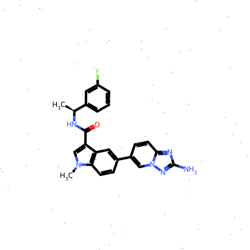 C[C@H](NC(=O)c1cn(C)c2ccc(-c3ccc4nc(N)nn4c3)cc12)c1cccc(F)c1